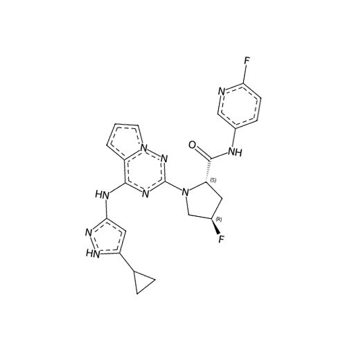 O=C(Nc1ccc(F)nc1)[C@@H]1C[C@@H](F)CN1c1nc(Nc2cc(C3CC3)[nH]n2)c2cccn2n1